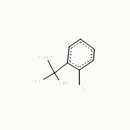 CC(C)(C)C(C)(C)c1ccccc1C#N